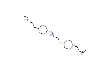 C/C=C\C[C@H]1CC[C@H](CC/C=C/[C@H]2CC[C@H](CC/C=C/C)CC2)CC1